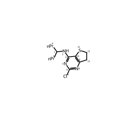 CCCC(CCC)Nc1nc(Cl)nc2c1SCC2